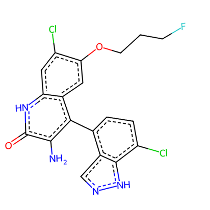 Nc1c(-c2ccc(Cl)c3[nH]ncc23)c2cc(OCCCF)c(Cl)cc2[nH]c1=O